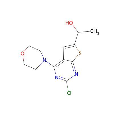 CC(O)c1cc2c(N3CCOCC3)nc(Cl)nc2s1